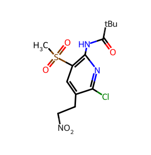 CC(C)(C)C(=O)Nc1nc(Cl)c(CC[N+](=O)[O-])cc1S(C)(=O)=O